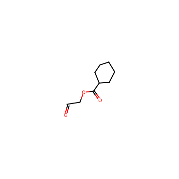 O=[C]COC(=O)C1CCCCC1